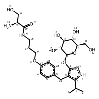 CC(C)c1[nH]nc(O[C@@H]2O[C@H](CO)[C@@H](O)[C@H](O)[C@H]2O)c1Cc1ccc(OCCCNC(=O)[C@@H](N)CO)cc1